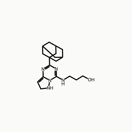 OCCCNC1=NC(C23CC4CC(CC(C4)C2)C3)=NC2=CCNN21